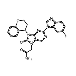 NC(=O)Cn1c(=O)n([C@@H]2CCOc3ccccc32)c2nc(-n3cnc4ccc(F)cc43)ncc21